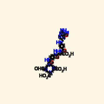 Nc1nc2ncc(CNc3ccc(C(=O)NC(CCC(=O)Nc4ccc(NC(=O)CN5CCN(CC=O)CCN(CC(=O)O)CCN(CC(=O)O)CC5)cc4)C(=O)O)cc3)nc2c(=O)[nH]1